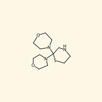 C1CSC(N2CCOCC2)(N2CCOCC2)CN1